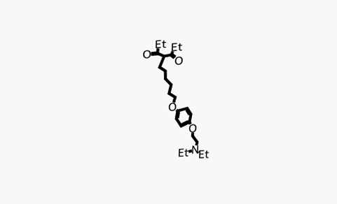 CCC(=O)C(CCCCCCOc1ccc(OCCN(CC)CC)cc1)C(=O)CC